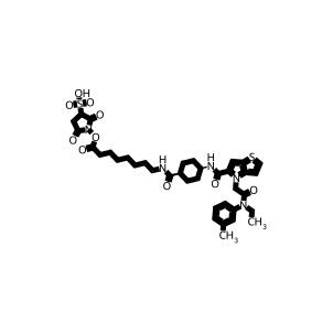 CCN(C(=O)Cn1c(C(=O)N[C@H]2CC[C@H](C(=O)NCCCCCCCC(=O)ON3C(=O)CC(S(=O)(=O)O)C3=O)CC2)cc2sccc21)c1cccc(C)c1